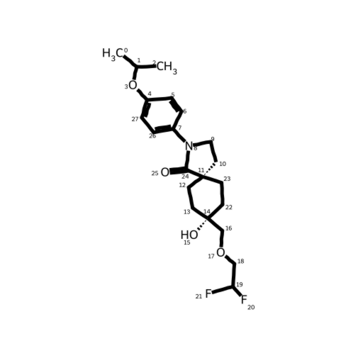 CC(C)Oc1ccc(N2CC[C@]3(CC[C@](O)(COCC(F)F)CC3)C2=O)cc1